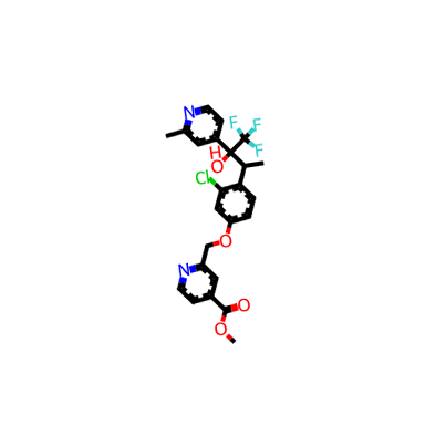 COC(=O)c1ccnc(COc2ccc(C(C)C(O)(c3ccnc(C)c3)C(F)(F)F)c(Cl)c2)c1